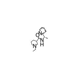 CCN1CCCC(C(=O)N[C@H](C)c2ccccn2)C1